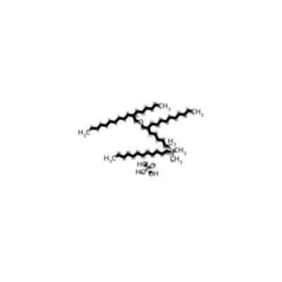 CCCCCCCCCCC(CCCCCC)COCC(CCCCCC)CCCCCCCCCC.CCCCCCCCCCCCN(C)C.O=P(O)(O)O